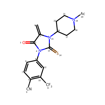 C=C1C(=O)N(c2ccc(C#N)c(C(F)(F)F)c2)C(=S)N1C1CCN(C(C)=O)CC1